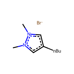 CCCCc1cn(C)[n+](C)c1.[Br-]